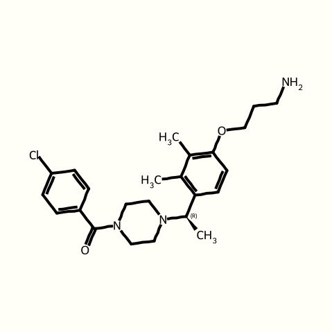 Cc1c(OCCCN)ccc([C@@H](C)N2CCN(C(=O)c3ccc(Cl)cc3)CC2)c1C